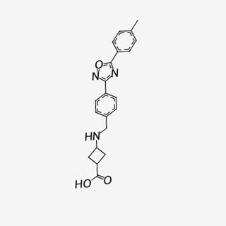 Cc1ccc(-c2nc(-c3ccc(CNC4CC(C(=O)O)C4)cc3)no2)cc1